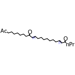 CCCC(=O)/C=C/CCCCCCC/C=C/C(=O)CCCCCCCC(C)=O